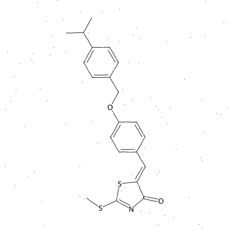 CSC1=NC(=O)C(=Cc2ccc(OCc3ccc(C(C)C)cc3)cc2)S1